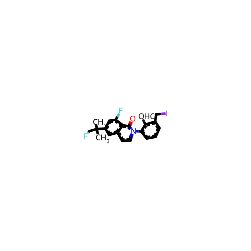 CC(C)(CF)c1cc(F)c2c(=O)n(-c3cccc(CI)c3C=O)ccc2c1